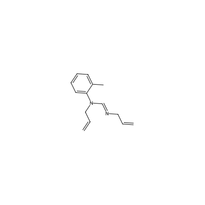 C=CCN=CN(CC=C)c1ccccc1C